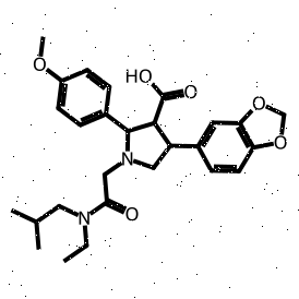 CCN(CC(C)C)C(=O)CN1CC(c2ccc3c(c2)OCO3)C(C(=O)O)C1c1ccc(OC)cc1